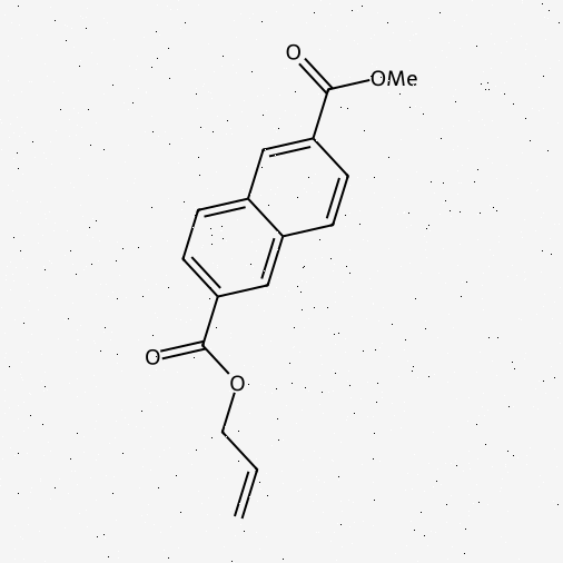 C=CCOC(=O)c1ccc2cc(C(=O)OC)ccc2c1